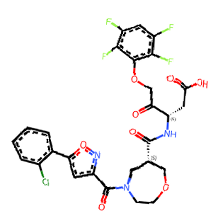 O=C(O)C[C@H](NC(=O)[C@@H]1COCCN(C(=O)c2cc(-c3ccccc3Cl)on2)C1)C(=O)COc1c(F)c(F)cc(F)c1F